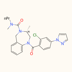 CCCN(C)C(=O)N1Cc2ccccc2N(C(=O)c2ccc(-n3cccn3)cc2Cl)C[C@H]1C